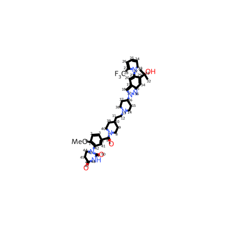 COc1ccc(C(=O)N2CCC(CCN3CCC(n4cc5cc(N6CC=CC=C6C(F)(F)F)c(C(C)(C)O)cc5n4)CC3)CC2)cc1N1CCC(=O)NC1=O